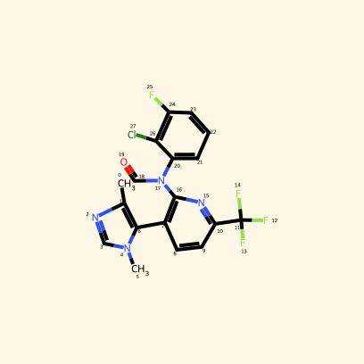 Cc1ncn(C)c1-c1ccc(C(F)(F)F)nc1N(C=O)c1cccc(F)c1Cl